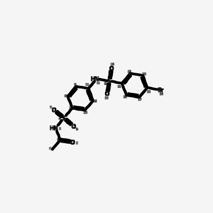 CC(=O)NS(=O)(=O)c1ccc(NS(=O)(=O)c2ccc(Br)cc2)cc1